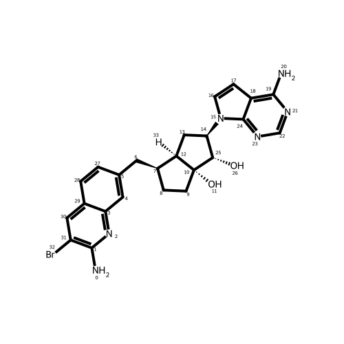 Nc1nc2cc(C[C@@H]3CC[C@@]4(O)[C@@H]3C[C@@H](n3ccc5c(N)ncnc53)[C@@H]4O)ccc2cc1Br